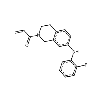 C=CC(=O)N1CCc2ccc(Nc3ccccc3F)cc2C1